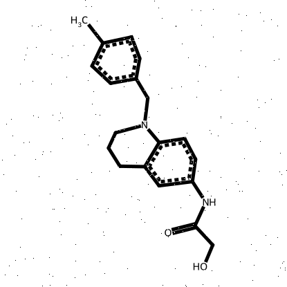 Cc1ccc(CN2CCCc3cc(NC(=O)CO)ccc32)cc1